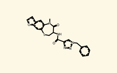 CN1C(=O)C(NC(=O)c2cn(Cc3ccccc3)nn2)CSc2cc3occc3cc21